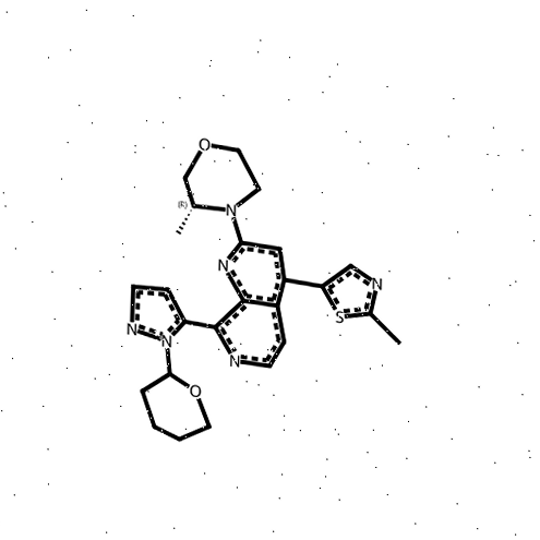 Cc1ncc(-c2cc(N3CCOC[C@H]3C)nc3c(-c4ccnn4C4CCCCO4)nccc23)s1